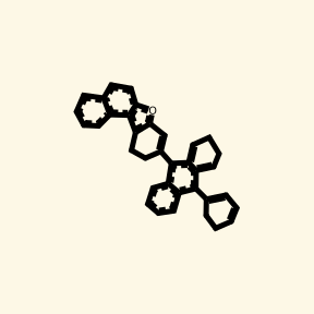 C1=CCCC(c2c3c(c(C4=Cc5oc6ccc7ccccc7c6c5CC4)c4ccccc24)=CCCC=3)=C1